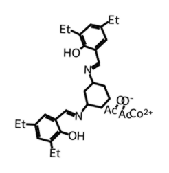 CC(=O)[O-].CC(=O)[O-].CCc1cc(C=NC2CCCC(N=Cc3cc(CC)cc(CC)c3O)C2)c(O)c(CC)c1.[Co+2]